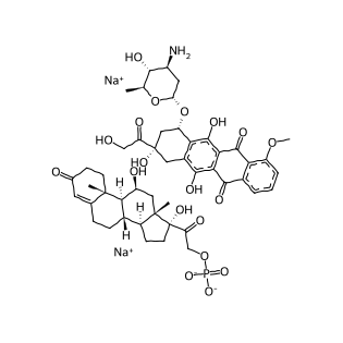 COc1cccc2c1C(=O)c1c(O)c3c(c(O)c1C2=O)C[C@@](O)(C(=O)CO)C[C@@H]3O[C@H]1C[C@H](N)[C@@H](O)[C@H](C)O1.C[C@]12CCC(=O)C=C1CC[C@@H]1[C@@H]2[C@@H](O)C[C@@]2(C)[C@H]1CC[C@]2(O)C(=O)COP(=O)([O-])[O-].[Na+].[Na+]